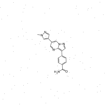 Cn1cc(-c2cnc3c(-c4ccc(C(N)=O)cc4)cnn3c2)cn1